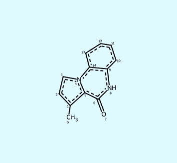 Cc1ccn2c1c(=O)[nH]c1ccccc12